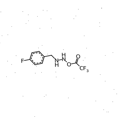 O=C(ONNCc1ccc(F)cc1)C(F)(F)F